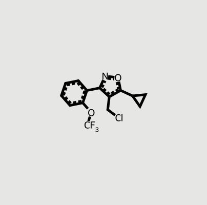 FC(F)(F)Oc1ccccc1-c1noc(C2CC2)c1CCl